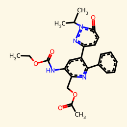 CCOC(=O)Nc1cc(-c2ccc(=O)n(C(C)C)n2)c(-c2ccccc2)nc1COC(C)=O